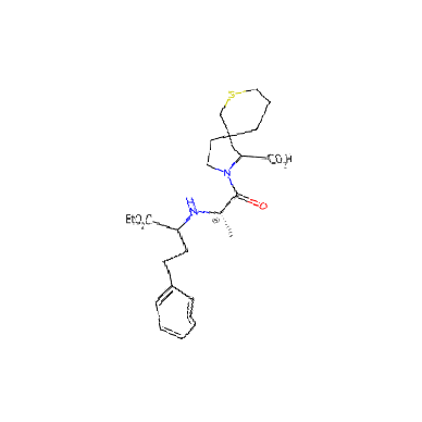 CCOC(=O)C(CCc1ccccc1)N[C@@H](C)C(=O)N1CCC2(CCCSC2)C1C(=O)O